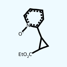 CCOC(=O)C1CC1c1cccc[n+]1[O-]